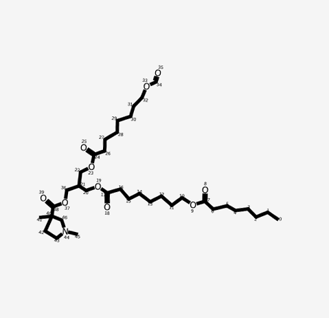 CCCCCCCC(=O)OCCCCCCCC(=O)OCC(COC(=O)CCCCCCCOC=O)COC(=O)C1(C)CCN(C)C1